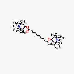 C=C(CCCCCCCCC(=O)OC1CC(C)(C)N(C)C(C)(C)C1)OC1CC(C)(C)N(C)C(C)(C)C1